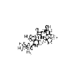 COc1c(Nc2c(NC(c3nn(C)cc3C)C3(C)CCCC3)c(=O)c2=O)ccnc1C(=O)OC(C)(C)C